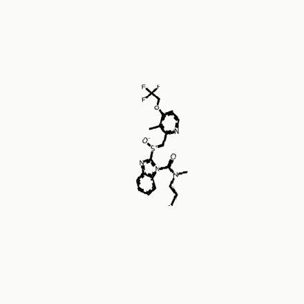 [CH2]CCN(C)C(=O)n1c([S+]([O-])Cc2nccc(OCC(F)(F)F)c2C)nc2ccccc21